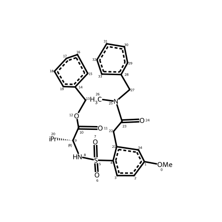 COc1ccc(S(=O)(=O)N[C@@H](C(=O)OCc2ccccc2)C(C)C)c(CC(=O)N(C)Cc2ccccc2)c1